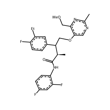 CCc1cc(C(COc2cnc(C)nc2COC)[C@@H](C)C(=O)Nc2ccc(F)cc2F)ccc1F